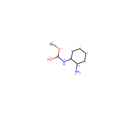 CC(C)(C)OC(O)NC1CCCCC1N